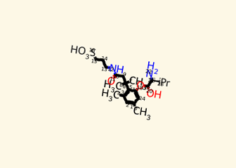 Cc1cc(C)c(C(C)(C)CC(=O)NCCCS(=O)(=O)O)c(OC(O)[C@@H](N)C(C)C)c1